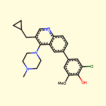 COc1cc(-c2ccc3ncc(CC4CC4)c(N4CCN(C)CC4)c3c2)cc(Cl)c1O